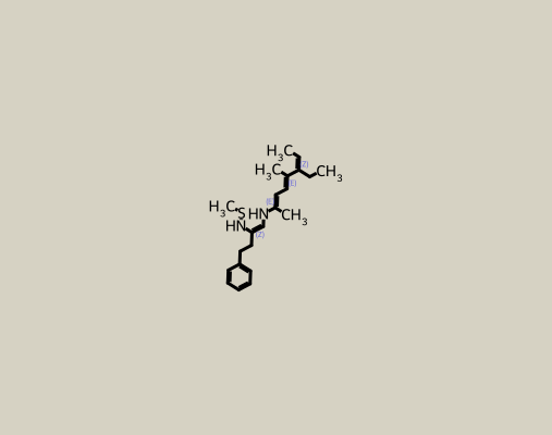 C\C=C(CC)/C(C)=C/C=C(\C)N/C=C(/CCc1ccccc1)NSC